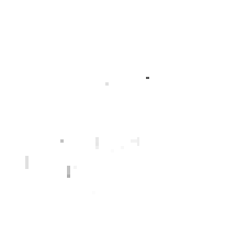 CCc1nc2c(C)cc(C)nc2n1Cc1ccc(C=CCN2C[C@H]3C[C@@H]2CN3CC(C)C)cc1